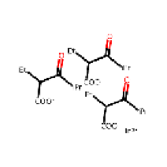 CCC(C(=O)[O-])C(=O)C(C)C.CCC(C(=O)[O-])C(=O)C(C)C.CCC(C(=O)[O-])C(=O)C(C)C.[In+3]